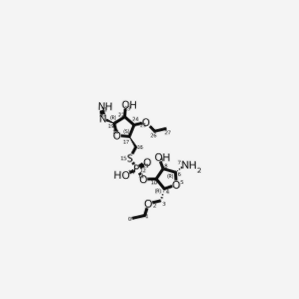 CCOC[C@H]1O[C@@H](N)C(O)C1OP(=O)(O)SC[C@H]1O[C@@H](N=N)C(O)C1OCC